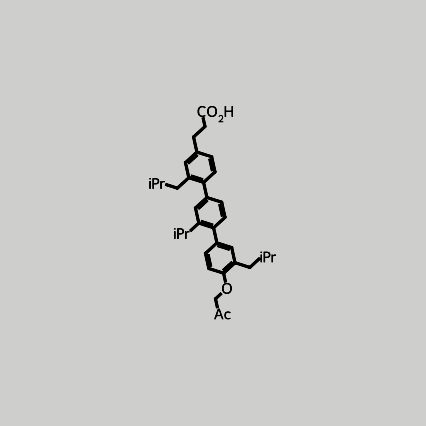 CC(=O)COc1ccc(-c2ccc(-c3ccc(CCC(=O)O)cc3CC(C)C)cc2C(C)C)cc1CC(C)C